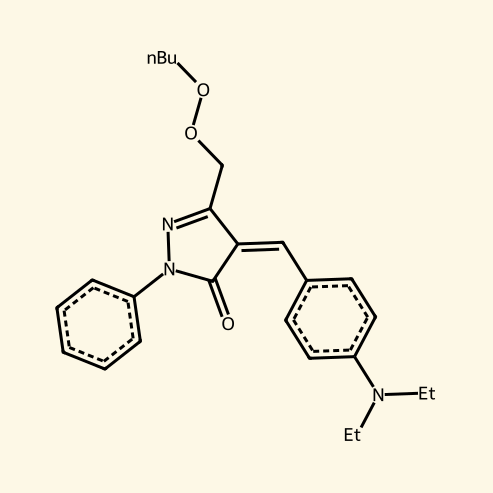 CCCCOOCC1=NN(c2ccccc2)C(=O)/C1=C\c1ccc(N(CC)CC)cc1